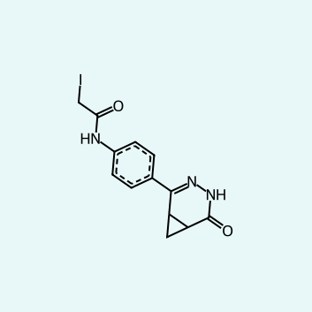 O=C(CI)Nc1ccc(C2=NNC(=O)C3CC23)cc1